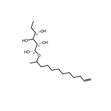 C=CCCCCCCCCC(C)O[C@H](O)[C@@H](O)C(O)[C@@H](O)CC